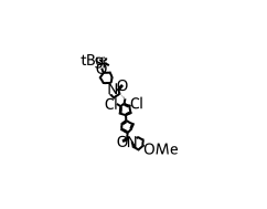 COC1CCN(C(=O)c2ccc(-c3cc(Cl)c(C[C@@H]4CCN(C5CCC(O[Si](C)(C)C(C)(C)C)CC5)C4=O)c(Cl)c3)cc2)CC1